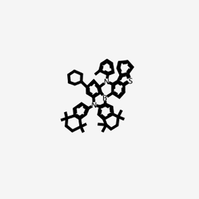 Cc1ccccc1N1c2cc(C3CCCCC3)cc3c2B(c2cc4c(cc2N3c2ccc3c(c2)C(C)(C)CCC3(C)C)C(C)(C)CCC4(C)C)c2ccc3sc4ccccc4c3c21